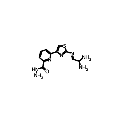 NNC(=O)c1cccc(-c2csc(N=CC(N)N)n2)n1